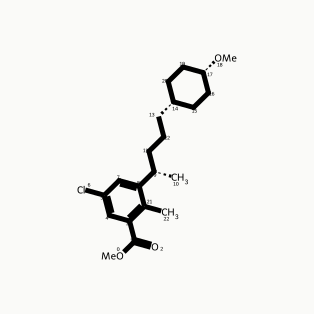 COC(=O)c1cc(Cl)cc([C@@H](C)CCC[C@H]2CC[C@@H](OC)CC2)c1C